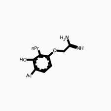 CCCc1c(OCC(=N)N)ccc(C(C)=O)c1O